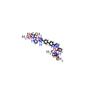 COC(=O)N[C@H](C(=O)N1CCC[C@H]1c1ncc(-c2ccc(-c3ccc(-c4cnc([C@H]5C6CCC(O6)[C@H]5C(=O)N(NC(=O)OC)C(C)C)[nH]4)cc3)cc2)[nH]1)C(C)C